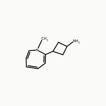 CN1C=CC=CC=C1C1CC(N)C1